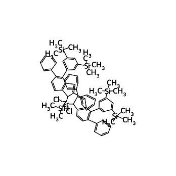 C[SiH](C)[Zr]([Cl])([Cl])([CH]1C(c2ccccc2)=Cc2c1ccc(-c1ccccc1)c2-c1cc([Si](C)(C)C)cc([Si](C)(C)C)c1)[CH]1C(c2ccccc2)=Cc2c1ccc(-c1ccccc1)c2-c1cc([Si](C)(C)C)cc([Si](C)(C)C)c1